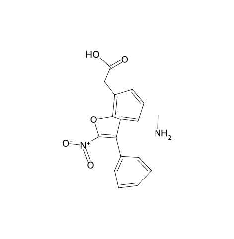 CN.O=C(O)Cc1cccc2c(-c3ccccc3)c([N+](=O)[O-])oc12